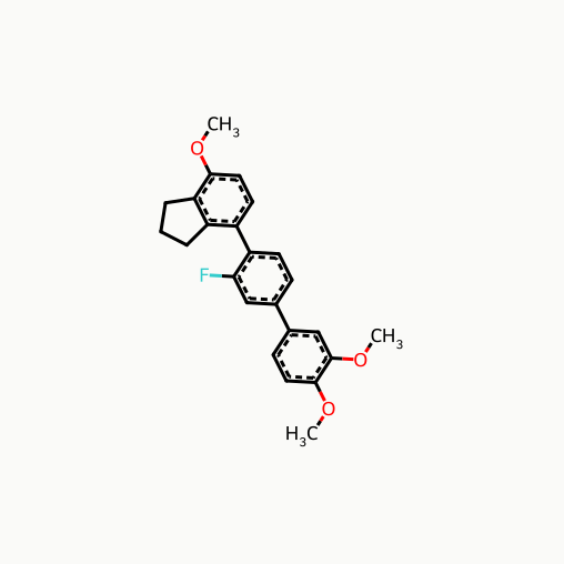 COc1ccc(-c2ccc(-c3ccc(OC)c4c3CCC4)c(F)c2)cc1OC